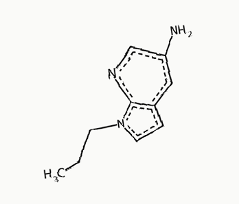 CCCn1ccc2cc(N)cnc21